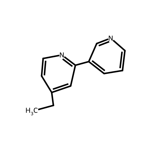 CCc1ccnc(-c2cccnc2)c1